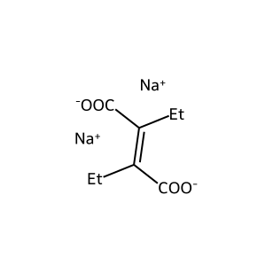 CCC(C(=O)[O-])=C(CC)C(=O)[O-].[Na+].[Na+]